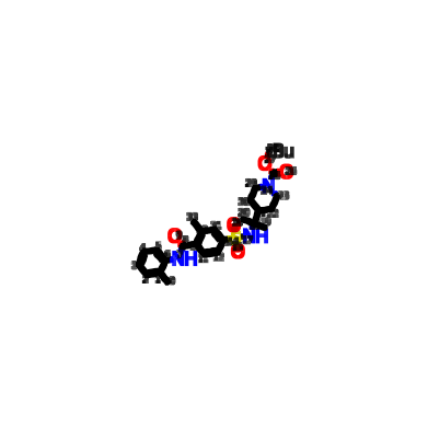 Cc1ccccc1NC(=O)c1ccc(S(=O)(=O)NC(C)(C)C2CCN(C(=O)OC(C)(C)C)CC2)cc1C